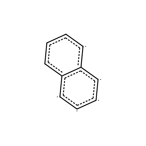 [c]1[c][c]c2ccc[c]c2[c]1